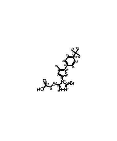 Cc1cc(-n2c(Br)nnc2SCC(=O)O)sc1-c1ccc(C(C)(C)C)cc1